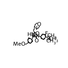 COCc1ccc([C@@H](NC(=O)CN2CCOCC2)C(=O)Nc2ccc([Si](C)(C)C)c(F)c2)cc1